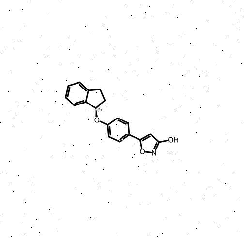 Oc1cc(-c2ccc(O[C@@H]3CCc4ccccc43)cc2)on1